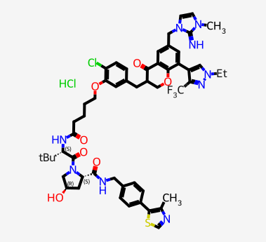 CCn1cc(-c2cc(Cn3ccn(C)c3=N)cc3c2OCC(Cc2ccc(Cl)c(OCCCCC(=O)N[C@H](C(=O)N4C[C@H](O)C[C@H]4C(=O)NCc4ccc(-c5scnc5C)cc4)C(C)(C)C)c2)C3=O)c(C(F)(F)F)n1.Cl